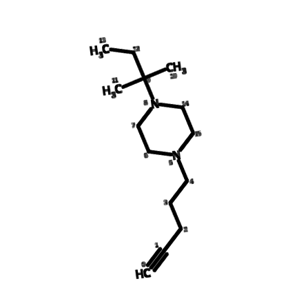 C#CCCCN1CCN(C(C)(C)CC)CC1